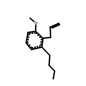 C=CCc1c(CCCC)cccc1OC